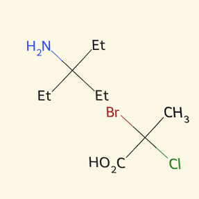 CC(Cl)(Br)C(=O)O.CCC(N)(CC)CC